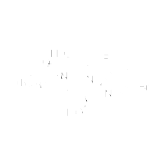 C[C@@H]1CN(c2ncc(Br)cc2F)[C@@H](CO)CN1C(=O)OC(C)(C)C